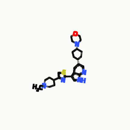 CN1CCC(c2csc(-c3c[nH]c4ncc([C@H]5CC[C@@H](N6CCOCC6)CC5)cc34)n2)CC1